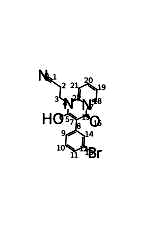 N#CCCn1c(O)c(-c2cccc(Br)c2)c(=O)[n+]2ccccc12